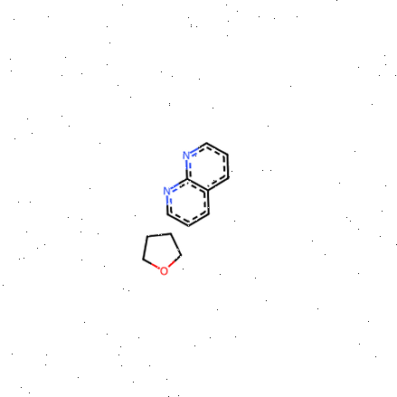 C1CCOC1.c1cnc2ncccc2c1